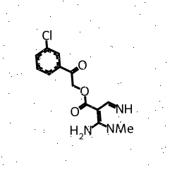 CN/C(N)=C(\C=N)C(=O)OCC(=O)c1cccc(Cl)c1